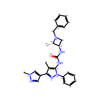 Cc1c(-c2cnn(C)c2)nn(-c2ccccc2)c1NC(=O)N[C@@H]1CN(Cc2ccccc2)[C@H]1C